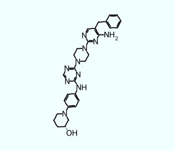 Nc1nc(N2CCN(c3ncnc(Nc4ccc(N5CCC[C@@H](O)C5)cc4)n3)CC2)ncc1Cc1ccccc1